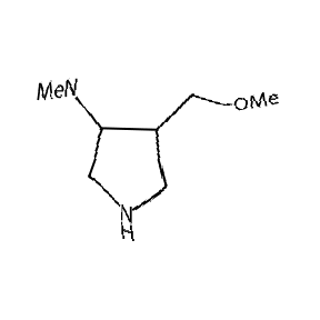 CNC1CNCC1COC